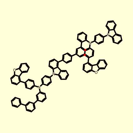 c1ccc(-c2cccc(-c3cccc(N(c4ccc(-c5cccc6oc7ccccc7c56)cc4)c4ccc(-n5c6ccccc6c6c(-c7ccc(-c8cccc(-c9ccccc9N(c9ccc(-c%10cccc%11oc%12ccccc%12c%10%11)cc9)c9ccc(-n%10c%11ccccc%11c%11ccccc%11%10)cc9)c8)cc7)cccc65)cc4)c3)c2)cc1